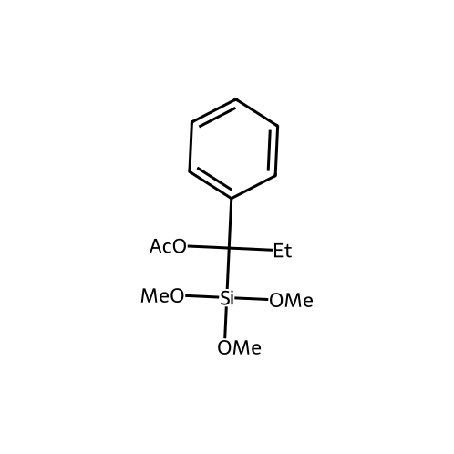 CCC(OC(C)=O)(c1ccccc1)[Si](OC)(OC)OC